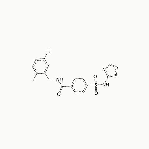 Cc1ccc(Cl)cc1CNC(=O)c1ccc(S(=O)(=O)Nc2nccs2)cc1